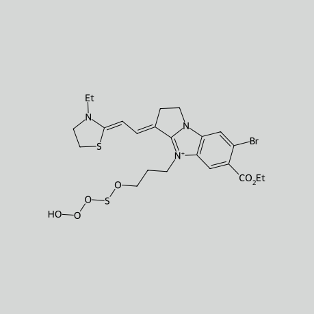 CCOC(=O)c1cc2c(cc1Br)n1c([n+]2CCCOSOOO)C(=CC=C2SCCN2CC)CC1